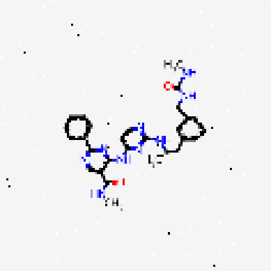 CNC(=O)NCc1cccc(C[C@H](C)Nc2nccc(Nc3nc(-c4ccccc4)ncc3C(=O)NC)n2)c1